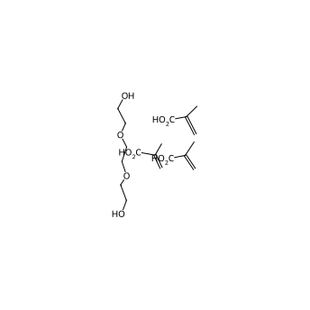 C=C(C)C(=O)O.C=C(C)C(=O)O.C=C(C)C(=O)O.OCCOCCOCCO